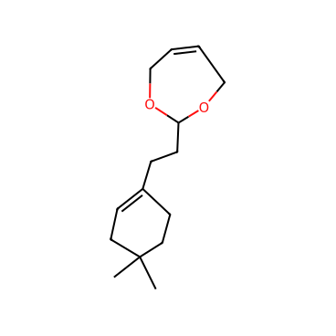 CC1(C)CC=C(CCC2OCC=CCO2)CC1